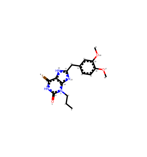 CCCn1c(=O)[nH]c(=S)c2[nH]c(Cc3ccc(OC)c(OC)c3)nc21